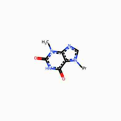 CC(C)n1cnc2c1c(=O)[nH]c(=O)n2C